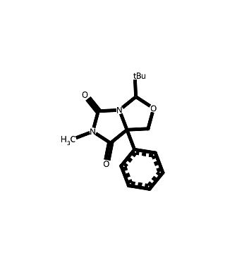 CN1C(=O)N2C(C(C)(C)C)OCC2(c2ccccc2)C1=O